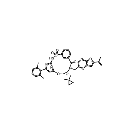 C=C(C)c1cc2nc(CN3C(=O)c4cccc(c4)S(=O)(=O)Nc4nc(cc(-c5c(C)cccc5C)n4)OC[C@H]3CC3(C)CC3)cnc2o1